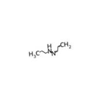 C=C/C=N\NCCC